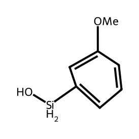 COc1cccc([SiH2]O)c1